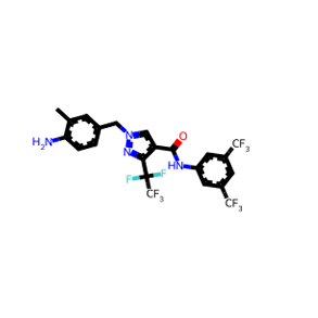 Cc1cc(Cn2cc(C(=O)Nc3cc(C(F)(F)F)cc(C(F)(F)F)c3)c(C(F)(F)C(F)(F)F)n2)ccc1N